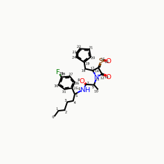 CCCCCC(NC(=O)C(C)N1C(=O)C(=S=O)C1Cc1ccccc1)c1ccc(F)cc1